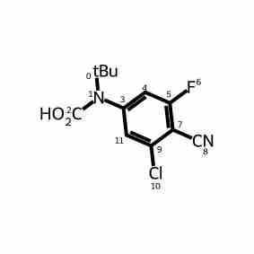 CC(C)(C)N(C(=O)O)c1cc(F)c(C#N)c(Cl)c1